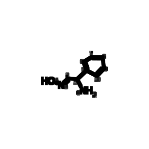 NC(C=NO)c1ccccc1